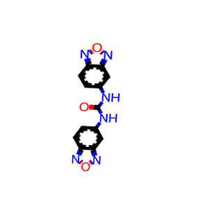 O=C(Nc1ccc2nonc2c1)Nc1ccc2nonc2c1